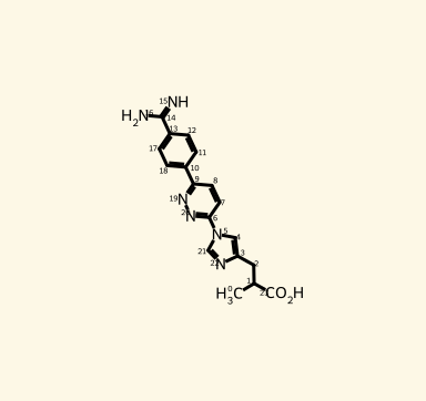 CC(Cc1cn(-c2ccc(-c3ccc(C(=N)N)cc3)nn2)cn1)C(=O)O